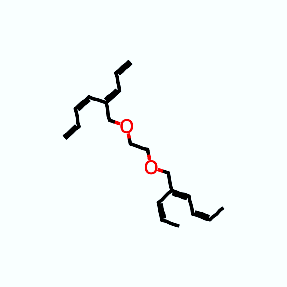 C=C/C=C\C(=C/C=C)COCCOCC(/C=C\C)=C/C=C\C